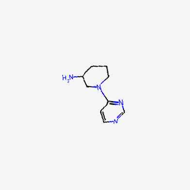 NC1CCCN(c2ccn[c]n2)C1